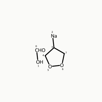 O=CO.[Na][CH]1COOC1